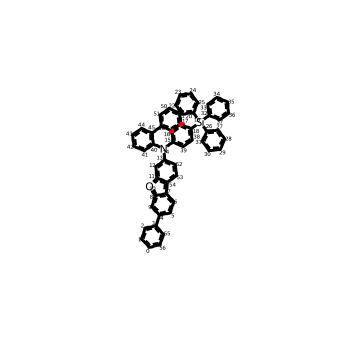 c1ccc(-c2ccc3c(c2)oc2cc(N(c4ccc([Si](c5ccccc5)(c5ccccc5)c5ccccc5)cc4)c4ccccc4-c4ccccc4)ccc23)cc1